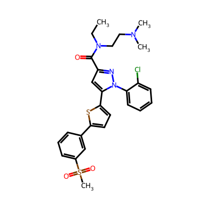 CCN(CCN(C)C)C(=O)c1cc(-c2ccc(-c3cccc(S(C)(=O)=O)c3)s2)n(-c2ccccc2Cl)n1